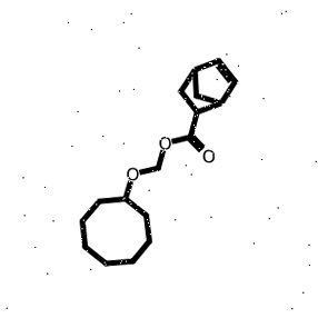 O=C(OCOC1CCCCCCC1)C1CC2C=CC1C2